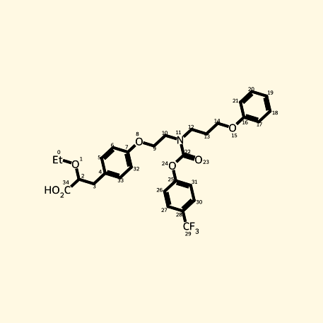 CCOC(Cc1ccc(OCCN(CCCOc2ccccc2)C(=O)Oc2ccc(C(F)(F)F)cc2)cc1)C(=O)O